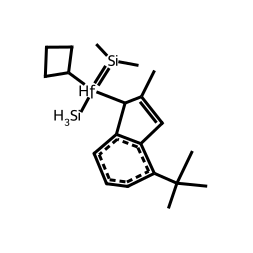 CC1=Cc2c(cccc2C(C)(C)C)[CH]1[Hf]([SiH3])([CH]1CCC1)=[Si](C)C